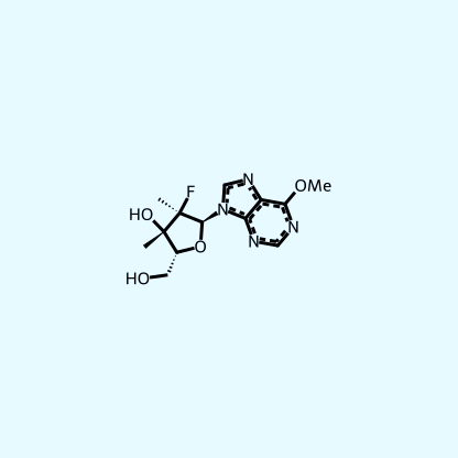 COc1ncnc2c1ncn2[C@H]1O[C@H](CO)[C@](C)(O)[C@@]1(C)F